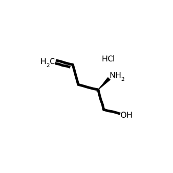 C=CC[C@@H](N)CO.Cl